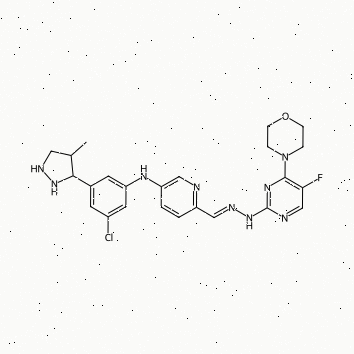 CC1CNNC1c1cc(Cl)cc(Nc2ccc(/C=N/Nc3ncc(F)c(N4CCOCC4)n3)nc2)c1